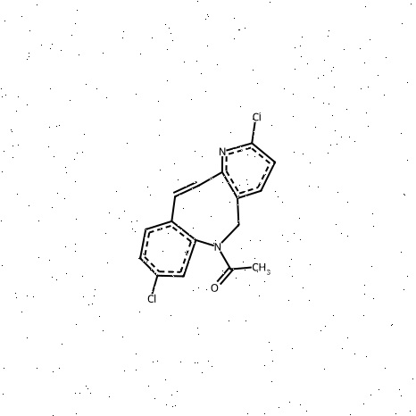 CC(=O)N1Cc2ccc(Cl)nc2C=Cc2ccc(Cl)cc21